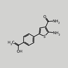 C=C(O)c1ccc(-c2cc(C(N)=O)c(N)s2)cc1